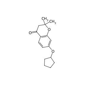 CC1(C)CC(=O)c2ccc(OC3CCCC3)cc2O1